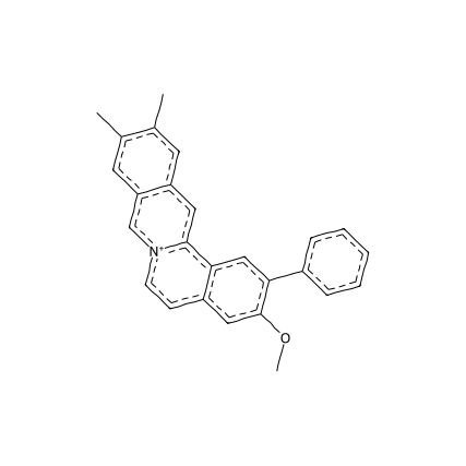 COc1cc2cc[n+]3cc4cc(C)c(C)cc4cc3c2cc1-c1ccccc1